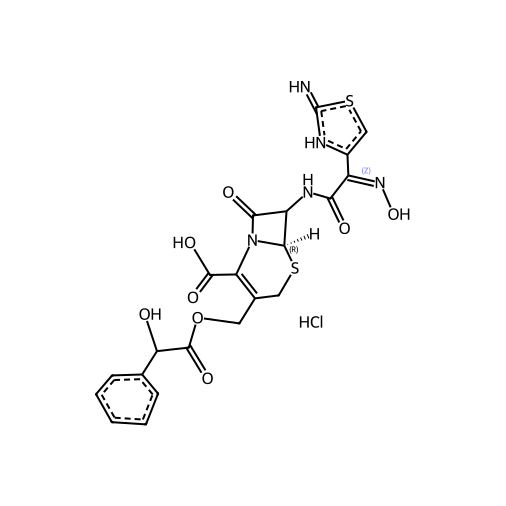 Cl.N=c1[nH]c(/C(=N/O)C(=O)NC2C(=O)N3C(C(=O)O)=C(COC(=O)C(O)c4ccccc4)CS[C@H]23)cs1